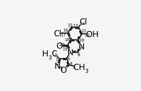 Cc1noc(C)c1-n1cnc2c(O)c(Cl)cc(Cl)c2c1=O